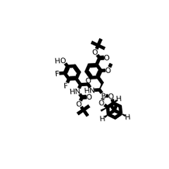 COc1c(C[C@H](NC(=O)C(NC(=O)OC(C)(C)C)c2ccc(O)c(F)c2F)B2O[C@@H]3C[C@@H]4C[C@@H](C4(C)C)[C@]3(C)O2)cccc1C(=O)OC(C)(C)C